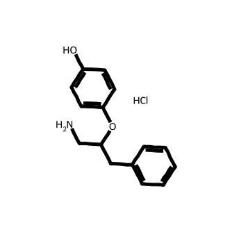 Cl.NCC(Cc1ccccc1)Oc1ccc(O)cc1